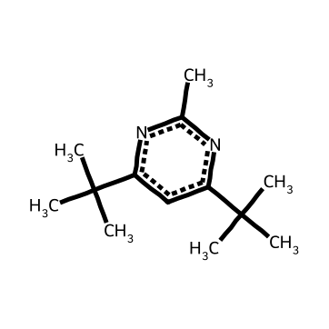 Cc1nc(C(C)(C)C)cc(C(C)(C)C)n1